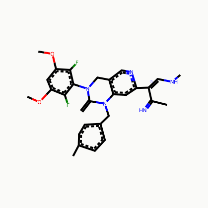 C=C1N(Cc2ccc(C)cc2)c2cc(/C(=C/NC)C(C)=N)ncc2CN1c1c(F)c(OC)cc(OC)c1F